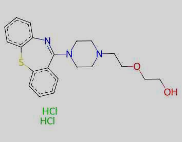 Cl.Cl.OCCOCCN1CCN(C2=Nc3ccccc3Sc3ccccc32)CC1